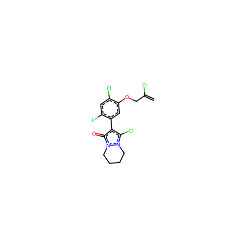 C=C(Cl)COc1cc(-c2c(Cl)n3n(c2=O)CCCC3)c(F)cc1Cl